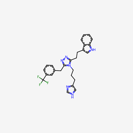 FC(F)(F)c1cccc(Cc2nnc(CCc3c[nH]c4ccccc34)n2CCCc2c[nH]cn2)c1